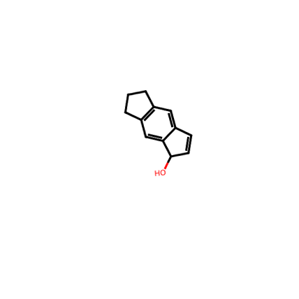 OC1C=Cc2cc3c(cc21)CCC3